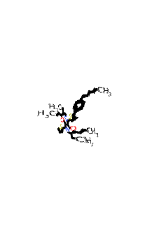 CCCCCCc1ccc(-c2ccc(C3=C4C(=O)N(CC(CC)CCCC)C(c5cccs5)=C4C(=O)N3CC(CC)CCCC)s2)cc1